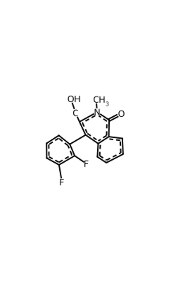 Cn1c(CO)c(-c2cccc(F)c2F)c2ccccc2c1=O